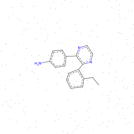 CCc1ccccc1-c1nccnc1-c1ccc(N)cc1